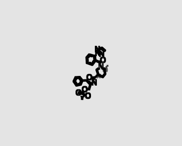 C[C@@H]1CC[C@@H](c2nc(COS(C)(=O)=O)c(-c3ccccc3)o2)CN1C(=O)c1ccccc1-n1nccn1